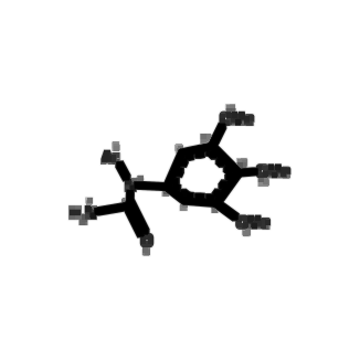 COc1cc(N(C(C)=O)C(N)=O)cc(OC)c1OC